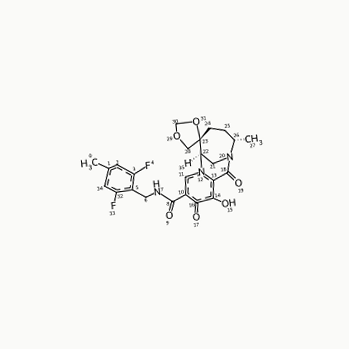 Cc1cc(F)c(CNC(=O)c2cn3c(c(O)c2=O)C(=O)N2C[C@@H]3[C@]3(CC[C@@H]2C)COCO3)c(F)c1